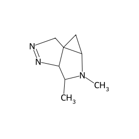 CC1C2N=NCC23CC3N1C